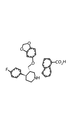 Fc1ccc([C@@H]2CCNC[C@H]2COc2ccc3c(c2)OCO3)cc1.O=C(O)c1cccc2ccccc12